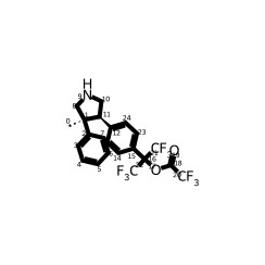 C[C@]1(c2ccccc2)CNC[C@H]1c1ccc(C(OC(=O)C(F)(F)F)(C(F)(F)F)C(F)(F)F)cc1